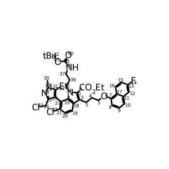 CCOC(=O)c1c(CCCOc2cccc3cc(F)ccc23)c2ccc(Cl)c(-c3c(CCl)nn(C)c3CC)c2n1CCCNC(=O)OC(C)(C)C